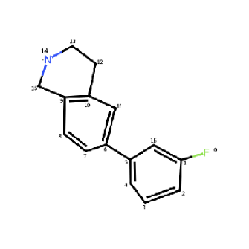 Fc1cccc(-c2ccc3c(c2)CC[N]C3)c1